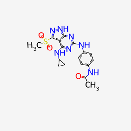 CC(=O)Nc1ccc(Nc2nc(NC3CC3)c3c(S(C)(=O)=O)n[nH]c3n2)cc1